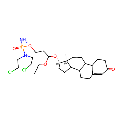 CCOC(CCOP(N)(=O)N(CCCl)CCCl)O[C@H]1CCC2C3CCC4=CC(=O)CCC4C3CC[C@@]21C